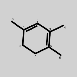 CC1=[C]C(C)=C(C)[C]C1